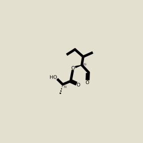 CCC(C)[C@@H](C=O)OC(=O)[C@H](C)O